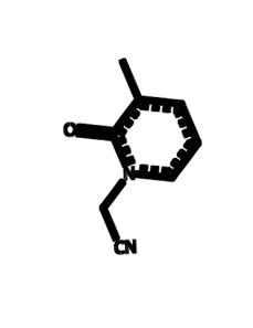 Cc1cccn(CC#N)c1=O